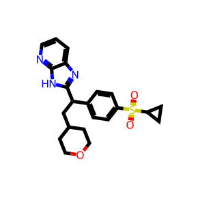 O=S(=O)(c1ccc(C(CC2CCOCC2)c2nc3cccnc3[nH]2)cc1)C1CC1